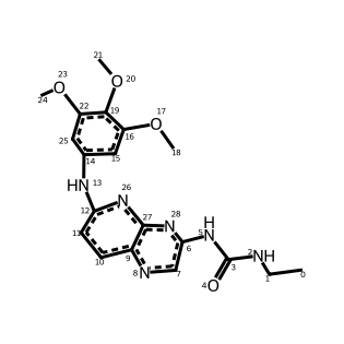 CCNC(=O)Nc1cnc2ccc(Nc3cc(OC)c(OC)c(OC)c3)nc2n1